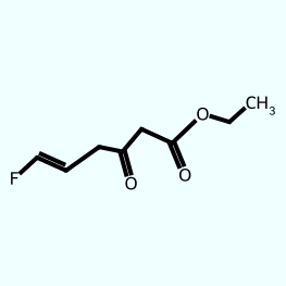 CCOC(=O)CC(=O)CC=CF